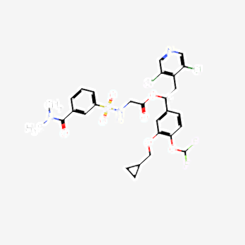 CN(C)C(=O)c1cccc(S(=O)(=O)NCC(=O)O[C@@H](Cc2c(Cl)cncc2Cl)c2ccc(OC(F)F)c(OCC3CC3)c2)c1